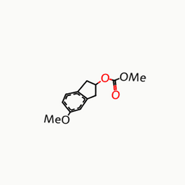 COC(=O)OC1Cc2ccc(OC)cc2C1